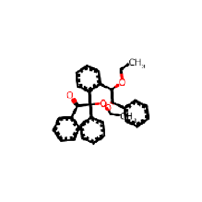 CCOC(C(=O)c1ccccc1)c1ccccc1C(OCC)(C(=O)c1ccccc1)c1ccccc1